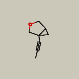 CC#CC12COCC1C2